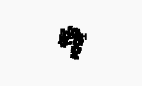 CC1CCCc2nc3c(F)cc(-c4nc(Nc5ccc(N6CCC(N(C)C)CC6)cn5)ncc4F)cc3n21